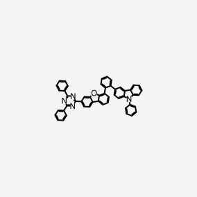 c1ccc(-c2nc(-c3ccccc3)nc(-c3ccc4c(c3)oc3c(-c5ccccc5-c5ccc6c(c5)c5ccccc5n6-c5ccccc5)cccc34)n2)cc1